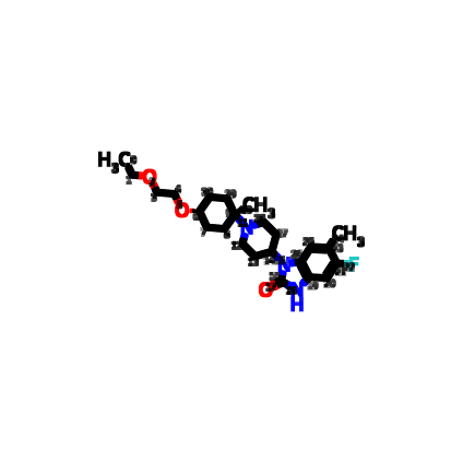 CCOCCO[C@H]1CC[C@@](C)(N2CCC(n3c(=O)[nH]c4cc(F)c(C)cc43)CC2)CC1